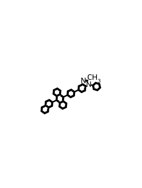 Cc1nc2cc(-c3ccc(-c4c5ccccc5c(-c5ccc6ccccc6c5)c5ccccc45)cc3)ccc2n1-c1ccccc1